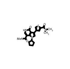 CNC(=O)c1c[nH]c(=O)c2c(-c3csc(C(=O)N(C)C)c3)cn(C3CCCC3)c12